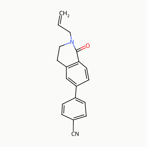 C=CCN1CCc2cc(-c3ccc(C#N)cc3)ccc2C1=O